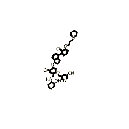 N#Cc1cncc(COc2cc(O[C@H]3CCc4c(-c5cccc(OCCCN6CCCCC6)c5Cl)cccc43)c(Cl)cc2CN[C@@H]2CCCC[C@@H]2O)c1